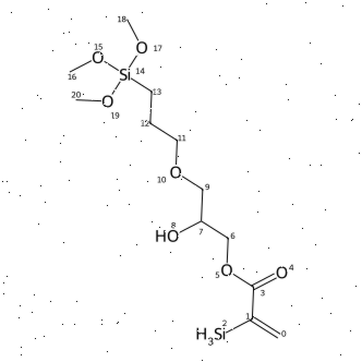 C=C([SiH3])C(=O)OCC(O)COCCC[Si](OC)(OC)OC